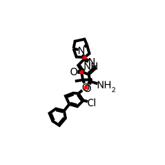 CC(C)(Oc1ccc(-c2ccccc2)cc1Cl)C(=O)NC1CC2CCC(C1)N2c1ccc(C(N)=O)cn1